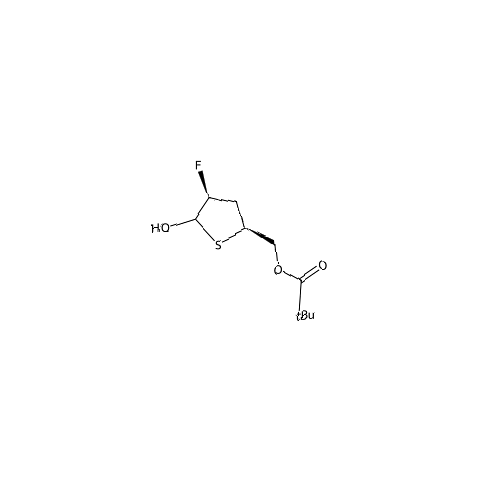 CC(C)(C)C(=O)OC[C@@H]1C[C@H](F)C(O)S1